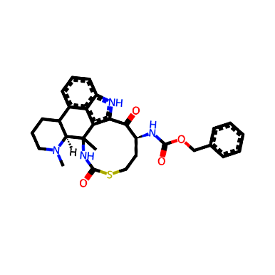 CN1CCCC2c3cccc4[nH]c5c(c34)C(C)(NC(=O)SCC[C@H](NC(=O)OCc3ccccc3)C5=O)[C@H]21